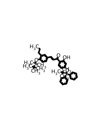 CCCc1cc(/C=C/C(=O)c2ccc(O[Si](c3ccccc3)(c3ccccc3)C(C)(C)C)cc2O)ccc1O[Si](C)(C)C(C)(C)C